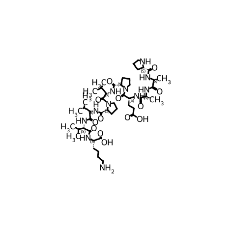 CC(C)[C@H](NC(=O)[C@@H](NC(=O)[C@@H]1CCCN1C(=O)[C@@H](NC(=O)[C@@H]1CCCN1C(=O)[C@H](CCC(=O)O)NC(=O)[C@H](C)NC(=O)[C@H](C)NC(=O)[C@@H]1CCCN1)C(C)C)C(C)C)C(=O)N[C@@H](CCCCN)C(=O)O